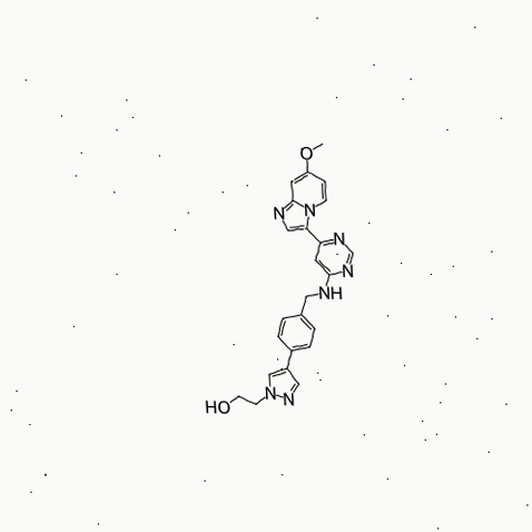 COc1ccn2c(-c3cc(NCc4ccc(-c5cnn(CCO)c5)cc4)ncn3)cnc2c1